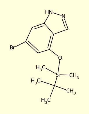 CC(C)(C)[Si](C)(C)Oc1cc(Br)cc2[nH]ncc12